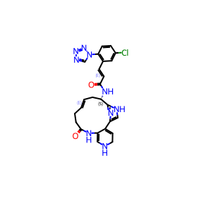 O=C(/C=C/c1cc(Cl)ccc1-n1cnnn1)N[C@H]1C/C=C/CCC(=O)NC2=CNCC=C2c2c[nH]c1n2